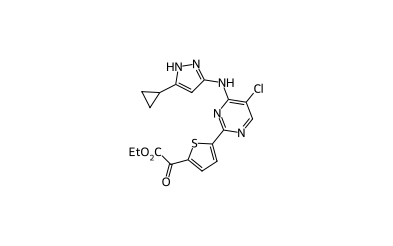 CCOC(=O)C(=O)c1ccc(-c2ncc(Cl)c(Nc3cc(C4CC4)[nH]n3)n2)s1